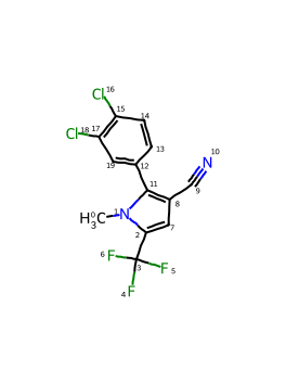 Cn1c(C(F)(F)F)cc(C#N)c1-c1ccc(Cl)c(Cl)c1